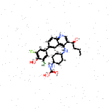 CCCC(=O)c1cnc2ccc(-c3cc(F)c(O)c(Cl)c3)cc2c1NC1CCC(NC(=O)O)CC1